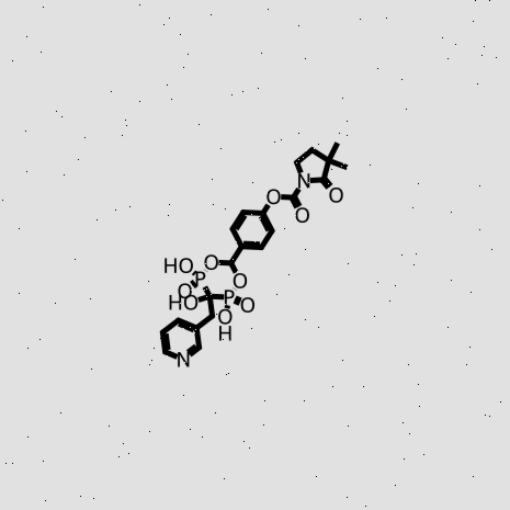 CC1(C)CCN(C(=O)Oc2ccc(C3OP(=O)(O)C(O)(Cc4cccnc4)P(=O)(O)O3)cc2)C1=O